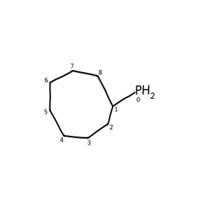 PC1CCCCCCC1